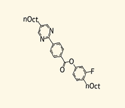 CCCCCCCCc1cnc(-c2ccc(C(=O)Oc3ccc(CCCCCCCC)c(F)c3)cc2)nc1